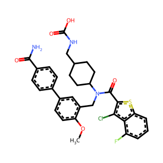 COc1ccc(-c2ccc(C(N)=O)cc2)cc1CN(C(=O)c1sc2cccc(F)c2c1Cl)C1CCC(CNC(=O)O)CC1